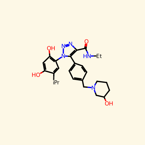 CCNC(=O)c1nnn(-c2cc(C(C)C)c(O)cc2O)c1-c1ccc(CN2CCCC(O)C2)cc1